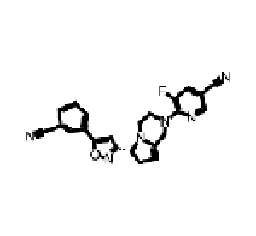 N#Cc1cccc(-c2cc([C@H]3CC=C4CN(c5ncc(C#N)cc5F)CCN43)no2)c1